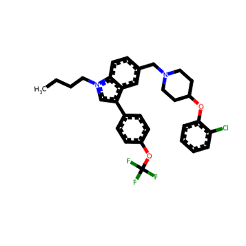 CCCCn1cc(-c2ccc(OC(F)(F)F)cc2)c2cc(CN3CCC(Oc4ccccc4Cl)CC3)ccc21